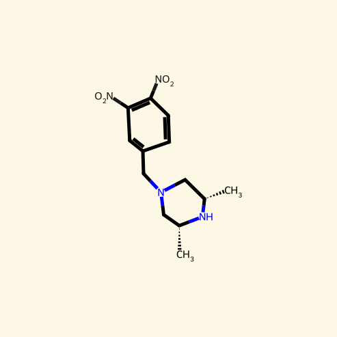 C[C@@H]1CN(Cc2ccc([N+](=O)[O-])c([N+](=O)[O-])c2)C[C@H](C)N1